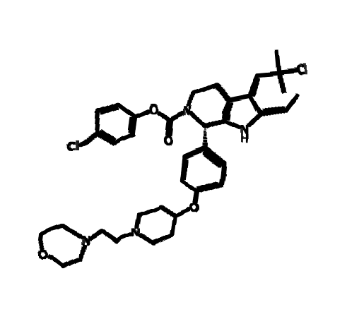 C/C=c1/[nH]c2c(/c1=C/C(C)(C)Cl)CCN(C(=O)Oc1ccc(Cl)cc1)[C@H]2c1ccc(OC2CCN(CCN3CCOCC3)CC2)cc1